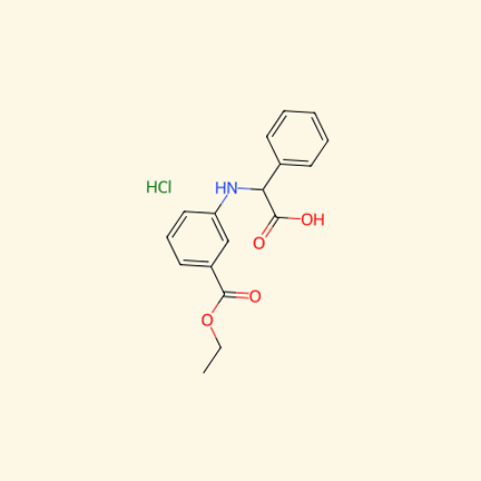 CCOC(=O)c1cccc(NC(C(=O)O)c2ccccc2)c1.Cl